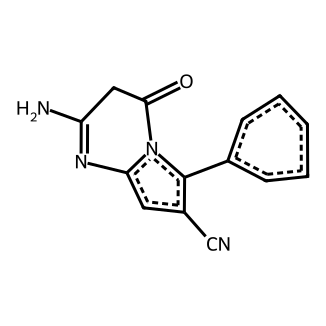 N#Cc1cc2n(c1-c1ccccc1)C(=O)CC(N)=N2